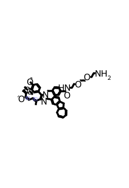 C=C(OC)/C(=C\C=C(/C)c1nc(-c2ccc3c(c2)C2=C(C=CC=CC2)C3)n(Cc2ccc(C(=O)NCCOCCOCCN)cc2)c1-c1ccc(OC)c(OC)c1)OC